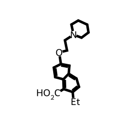 CCc1ccc2cc(OCCN3CCCCC3)ccc2c1C(=O)O